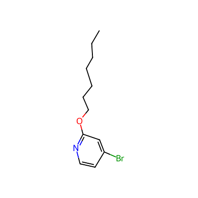 CCCCCCCOc1cc(Br)ccn1